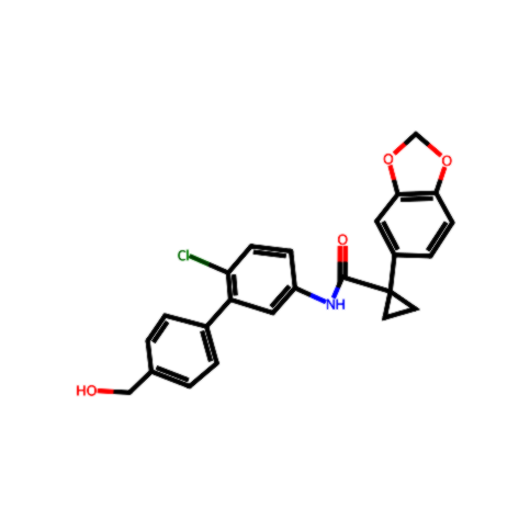 O=C(Nc1ccc(Cl)c(-c2ccc(CO)cc2)c1)C1(c2ccc3c(c2)OCO3)CC1